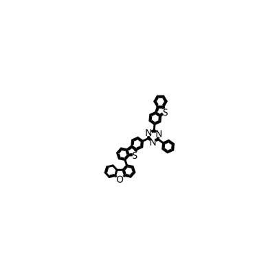 C1=CCC2C(=C1)Oc1cccc(-c3cccc4c3sc3cc(-c5nc(-c6ccccc6)nc(-c6ccc7c(c6)sc6ccccc67)n5)ccc34)c12